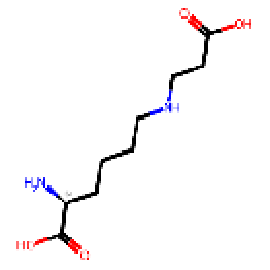 N[C@@H](CCCCNCCC(=O)O)C(=O)O